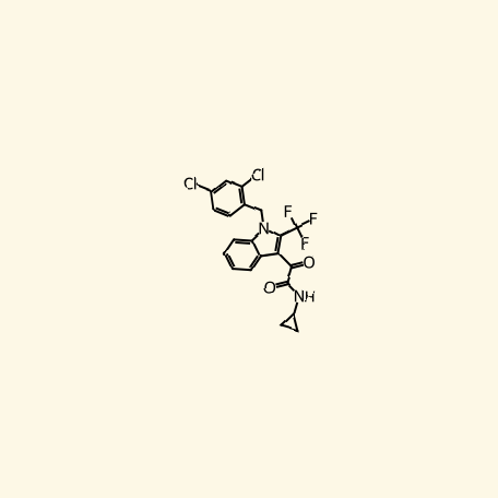 O=C(NC1CC1)C(=O)c1c(C(F)(F)F)n(Cc2ccc(Cl)cc2Cl)c2ccccc12